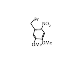 COc1cc(CC(C)C)c([N+](=O)[O-])cc1OC